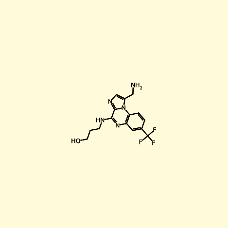 NCc1cnc2c(NCCCO)nc3cc(C(F)(F)F)ccc3n12